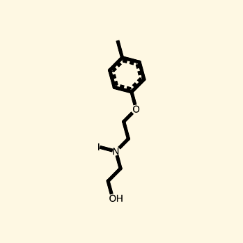 Cc1ccc(OCCN(I)CCO)cc1